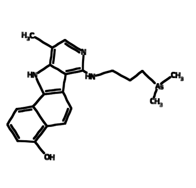 Cc1cnc(NCCC[As](C)C)c2c1[nH]c1c3cccc(O)c3ccc12